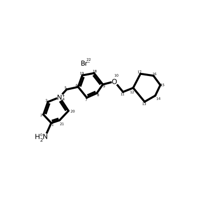 Nc1cc[n+](Cc2ccc(OCC3CCCCC3)cc2)cc1.[Br-]